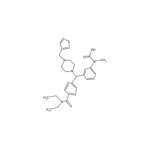 CCN(CC)C(=O)c1ccc(C(c2cccc(N(C)C(=O)O)c2)N2CCN(Cc3ccsc3)CC2)cc1